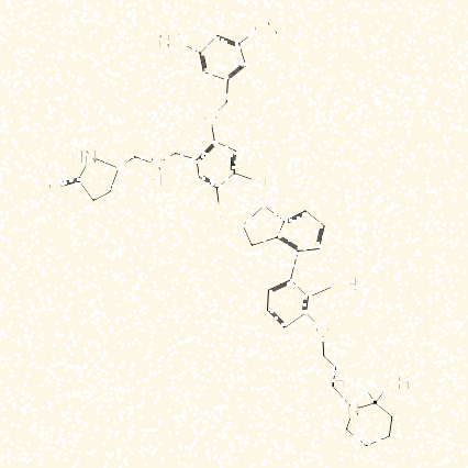 Cc1c(OCCCN2CCCCC2(C)C)cccc1-c1cccc2c1CC[C@@H]2Oc1cc(OCc2cc(C#N)cc(C#N)c2)c(CNC[C@H]2CCC(=O)N2)cc1Cl